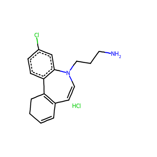 Cl.NCCCN1C=CC2=C(CCC=C2)c2ccc(Cl)cc21